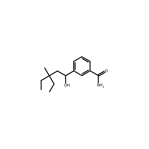 CCC(C)(CC)CC(O)c1cccc(C(N)=O)c1